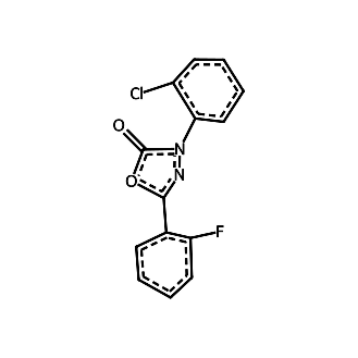 O=c1oc(-c2ccccc2F)nn1-c1ccccc1Cl